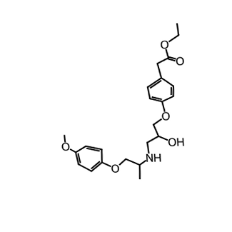 CCOC(=O)Cc1ccc(OCC(O)CNC(C)COc2ccc(OC)cc2)cc1